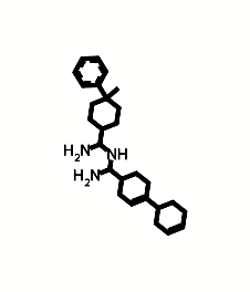 CC1(c2ccccc2)CCC(C(N)NC(N)C2CC=C(C3CC=CCC3)CC2)CC1